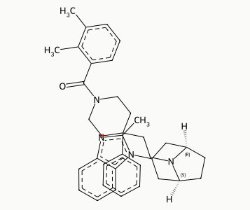 Cc1cccc(C(=O)N2CCC(CCN3[C@@H]4CC[C@H]3CC(n3c(C)nc5ccccc53)C4)(c3ccccc3)CC2)c1C